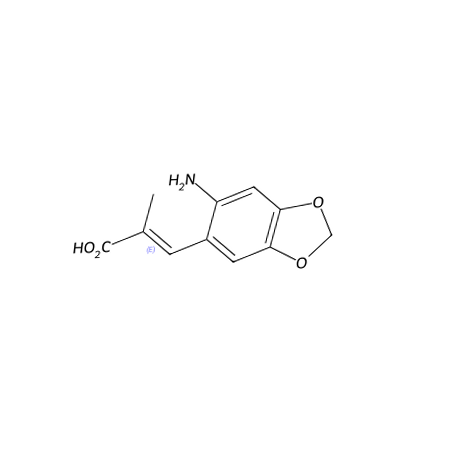 C/C(=C\c1cc2c(cc1N)OCO2)C(=O)O